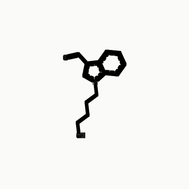 O=Cc1cn(CCCCO)c2ccccc12